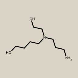 NCCCN(CCO)CCCCO